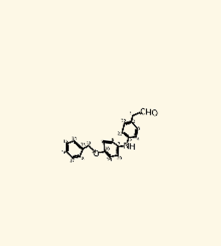 O=CCc1ccc(Nc2ccc(OCc3ccccc3)cc2)cc1